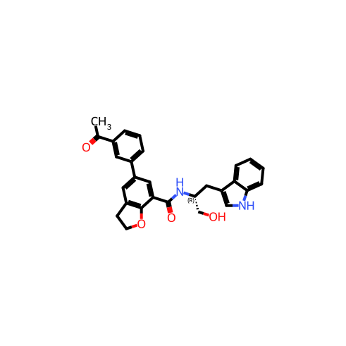 CC(=O)c1cccc(-c2cc3c(c(C(=O)N[C@@H](CO)Cc4c[nH]c5ccccc45)c2)OCC3)c1